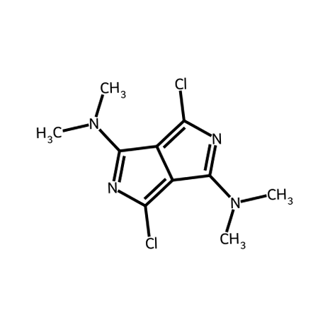 CN(C)C1=NC(Cl)=C2C(N(C)C)=NC(Cl)=C12